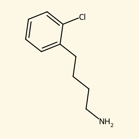 NCCCCc1ccccc1Cl